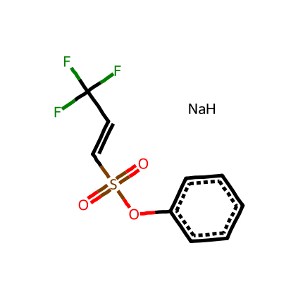 O=S(=O)(C=CC(F)(F)F)Oc1ccccc1.[NaH]